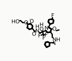 CCOc1c(CCN[C@@H](C)c2ccccc2)cc([C@@](O)(CNC(=O)c2ccc(OCCO)c(OC)c2)C(F)(F)F)nc1-c1ccc(F)cc1